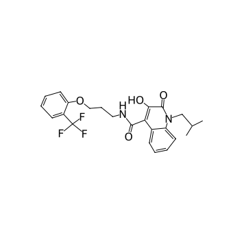 CC(C)Cn1c(=O)c(O)c(C(=O)NCCCOc2ccccc2C(F)(F)F)c2ccccc21